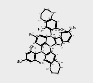 Cc1cc(C(C)(C)C)cc(C)c1N1c2cc3c(cc2B2c4oc5ccc(C(C)(C)C)cc5c4N(c4c(C)cc5c(c4C)OCCCO5)c4cc(C(C)C)cc1c42)OCCCO3